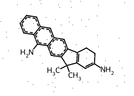 CC1(C)C2=C(CCC(N)=C2)c2cc3cc4ccccc4c(N)c3cc21